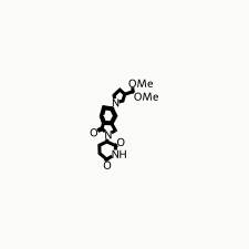 COC(OC)C1CCN(c2ccc3c(c2)CN(C2CCC(=O)NC2=O)C3=O)C1